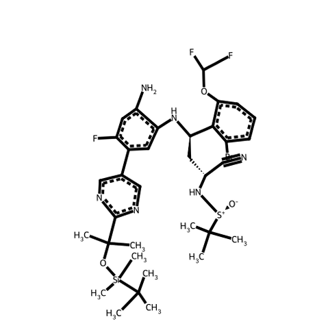 CC(C)(O[Si](C)(C)C(C)(C)C)c1ncc(-c2cc(N[C@H](C[C@H](C#N)N[S@+]([O-])C(C)(C)C)c3c(Br)cccc3OC(F)F)c(N)cc2F)cn1